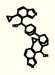 OC(c1c(C2CC2)ccn2cncc12)C1CC2CCC1CC2C1CC2CC(C(O)c3c(C4CC4)ccn4cncc34)C1C2